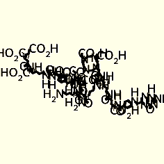 NCCCC[C@H](NC(=O)C(CC(=O)O)NC(=O)[C@H](CC(=O)O)NC(=O)Cc1ccc(CNC(=O)NCCCC[C@H](NC(=O)CC[C@@H](CCC(=O)O)C(=O)O)C(=O)O)cc1)C(=O)N[C@@H](CCCCNC(=O)C(CCCCNC(=O)CC[C@H](NC(=O)c1ccc(NCc2cnc3[nH]c(N)nc(=O)c3n2)cc1)C(=O)O)NC(=O)CN1CCN(CC(=O)O)CCN(CC(=O)O)CCN(CC(=O)O)CC1)C(N)=O